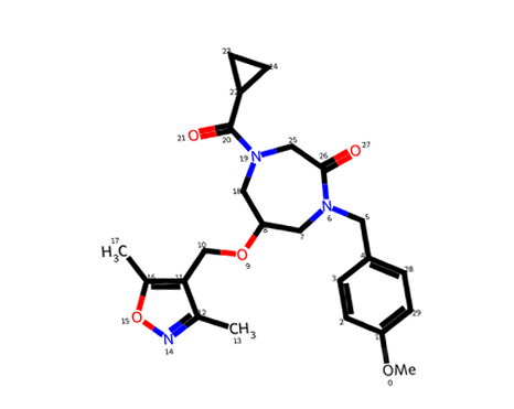 COc1ccc(CN2CC(OCc3c(C)noc3C)CN(C(=O)C3CC3)CC2=O)cc1